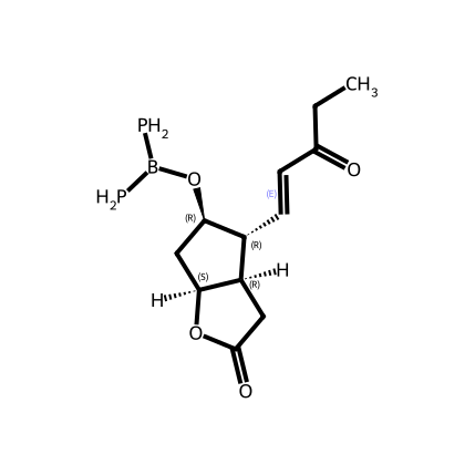 CCC(=O)/C=C/[C@@H]1[C@H]2CC(=O)O[C@H]2C[C@H]1OB(P)P